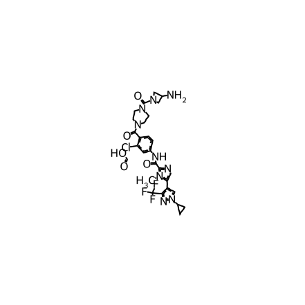 Cn1c(-c2cn(C3CC3)nc2C(F)(F)F)cnc1C(=O)Nc1ccc(C(=O)N2CCN(C(=O)N3CC(N)C3)CC2)c(Cl)c1.O=CO